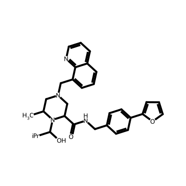 CC(C)C(O)N1C(C)CN(Cc2cccc3cccnc23)CC1C(=O)NCc1ccc(-c2ccco2)cc1